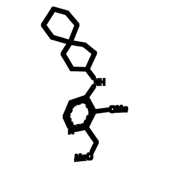 COCc1nccc(NC2CCC3(CCCCC3)CC2)c1OC